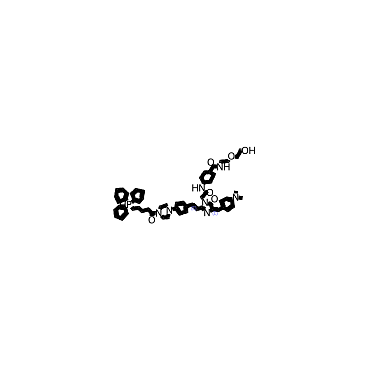 CN(C)c1ccc(/C=C2N=C(/C=C/c3ccc(N4CCN(C(=O)CCCC[PH](c5ccccc5)(c5ccccc5)c5ccccc5)CC4)cc3)N(CC(=O)NC3CCC(C(=O)NCCOCCO)CC3)C/2=O)cc1